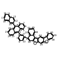 c1cc(-c2c3ccccc3c(-c3ccc4ccccc4c3)c3ccccc23)cc(-c2cc3oc4cc5oc6ccccc6c5cc4c3c3ccccc23)c1